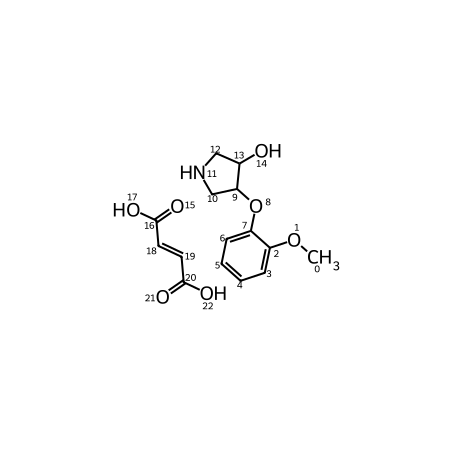 COc1ccccc1OC1CNCC1O.O=C(O)C=CC(=O)O